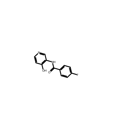 O=C(Nc1cnccc1O)c1ccc(F)cc1